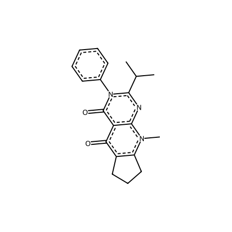 CC(C)c1nc2c(c(=O)c3c(n2C)CCC3)c(=O)n1-c1ccccc1